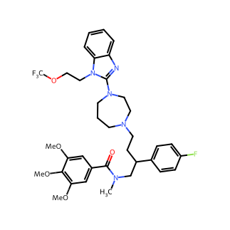 COc1cc(C(=O)N(C)CC(CCN2CCCN(c3nc4ccccc4n3CCOC(F)(F)F)CC2)c2ccc(F)cc2)cc(OC)c1OC